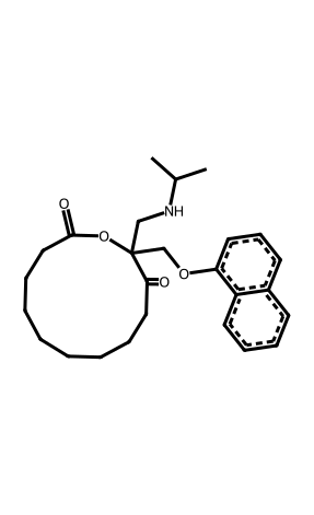 CC(C)NCC1(COc2cccc3ccccc23)OC(=O)CCCCCCCCC1=O